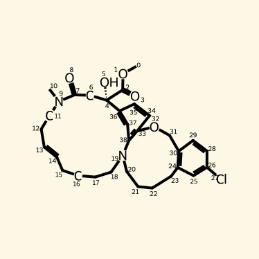 COC(=O)[C@]1(O)CC(=O)N(C)CC/C=C/CCCCN2CCCCc3cc(Cl)ccc3COc3ccc1cc32